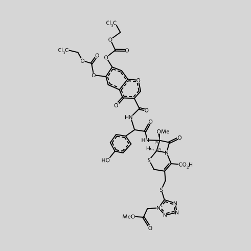 COC(=O)Cn1nnnc1SCC1=C(C(=O)O)N2C(=O)[C@](NC(=O)C(NC(=O)c3coc4cc(OC(=O)OCC(Cl)(Cl)Cl)c(OC(=O)OCC(Cl)(Cl)Cl)cc4c3=O)c3ccc(O)cc3)(OC)[C@@H]2SC1